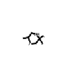 CC1CNC(C)(C)CO1